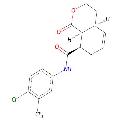 O=C1OCC[C@H]2C=CC[C@@H](C(=O)Nc3ccc(Cl)c(C(F)(F)F)c3)[C@@H]12